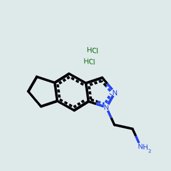 Cl.Cl.NCCn1ncc2cc3c(cc21)CCC3